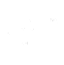 CC1CCCCCCC1COC(=O)Oc1ccc([N+](=O)[O-])cc1